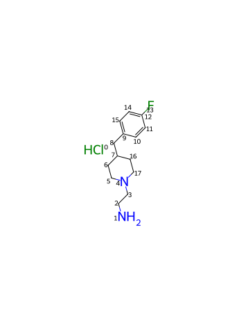 Cl.NCCN1CCC(Cc2ccc(F)cc2)CC1